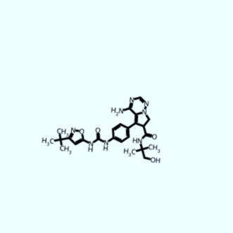 CC(C)(CO)NC(=O)C1CN2N=CN=C(N)C2=C1c1ccc(NC(=O)Nc2cc(C(C)(C)C)no2)cc1